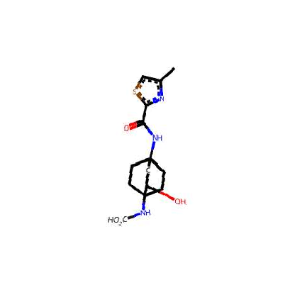 Cc1csc(C(=O)NC23CCC(NC(=O)O)(CC2)C(O)C3)n1